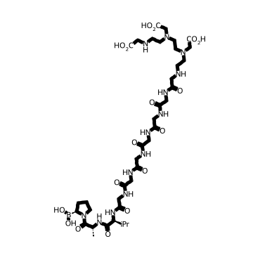 CC(C)[C@H](NC(=O)CNC(=O)CNC(=O)CNC(=O)CNC(=O)CNC(=O)CNC(=O)CNCCN(CCN(CCNCC(=O)O)CC(=O)O)CC(=O)O)C(=O)N[C@H](C)C(=O)N1CCC[C@H]1B(O)O